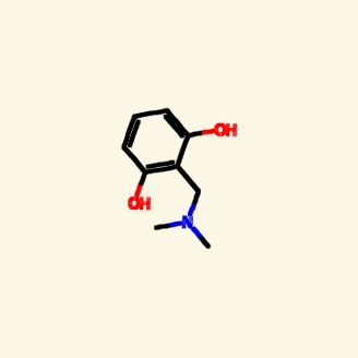 CN(C)Cc1c(O)cccc1O